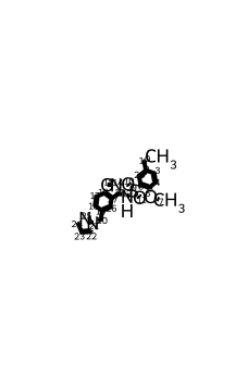 CCc1ccc(OC)c(S(=O)(=O)Nc2noc3ccc(Cn4cccn4)cc23)c1